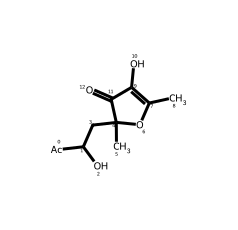 CC(=O)C(O)CC1(C)OC(C)=C(O)C1=O